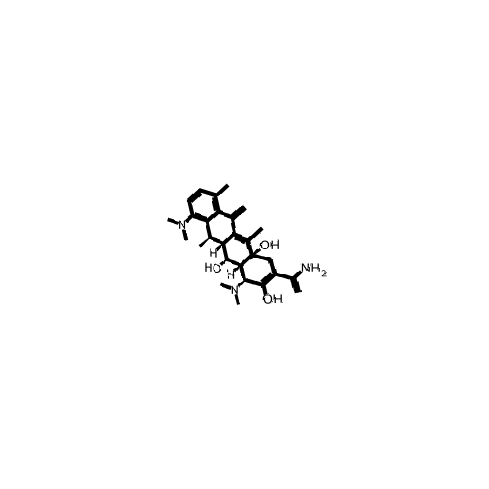 C=C(N)C1=C(O)[C@@H](N(C)C)[C@@H]2[C@@H](O)[C@H]3C(=C(C)[C@]2(O)C1)C(=C)c1c(C)ccc(N(C)C)c1[C@@H]3C